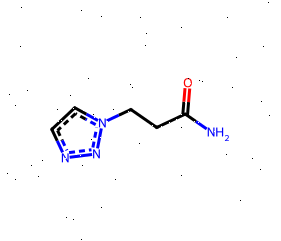 NC(=O)CCn1ccnn1